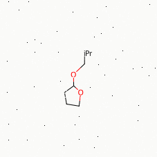 CC(C)COC1CCCO1